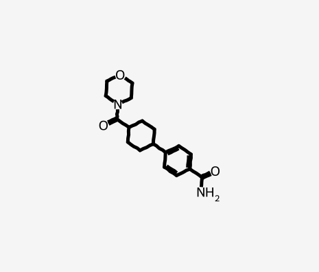 NC(=O)c1ccc(C2CCC(C(=O)N3CCOCC3)CC2)cc1